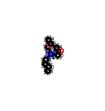 c1ccc(-c2nc(-c3ccc4ccc5c6ccccc6ccc5c4c3)nc(-c3cccc4oc5ccc(-c6ccc7ccccc7c6)cc5c34)n2)cc1